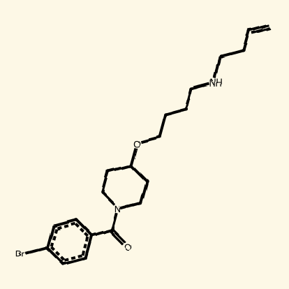 C=CCCNCCCCOC1CCN(C(=O)c2ccc(Br)cc2)CC1